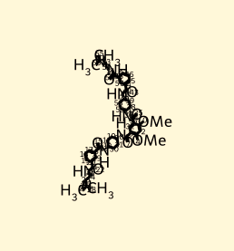 COc1cc(OC)c(C(=O)N[C@H]2CC[C@H](NC(=O)c3cccc(C(=O)NCCN(C)C)c3)CC2)cc1C(=O)N[C@H]1CC[C@H](NC(=O)c2cccc(C(=O)NCCN(C)C)c2)CC1